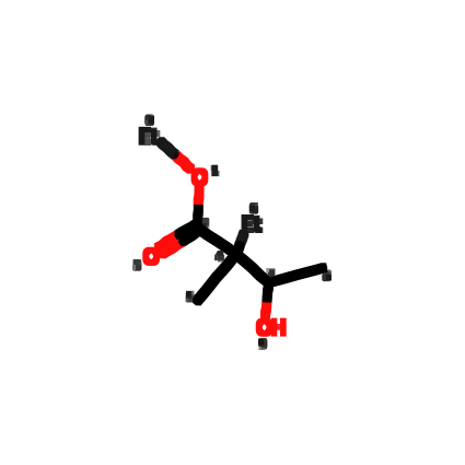 CCOC(=O)C(C)(CC)C(C)O